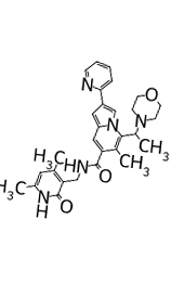 Cc1cc(C)c(CNC(=O)c2cc3cc(-c4ccccn4)cn3c(C(C)N3CCOCC3)c2C)c(=O)[nH]1